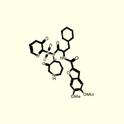 COc1cc2cc(C(=O)NC(CC3CCCCC3)C(=O)N([C@H]3CCCNCC3=O)S(=O)(=O)C3=NC=CCC3=O)oc2cc1OC